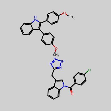 COc1ccc(-c2[nH]c3ccccc3c2-c2ccc(OC)cc2)cc1.O=C(c1ccc(Cl)cc1)n1cc(Cc2nn[nH]n2)c2ccccc21